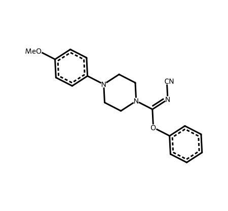 COc1ccc(N2CCN(/C(=N\C#N)Oc3ccccc3)CC2)cc1